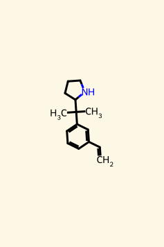 C=Cc1cccc(C(C)(C)C2CCCN2)c1